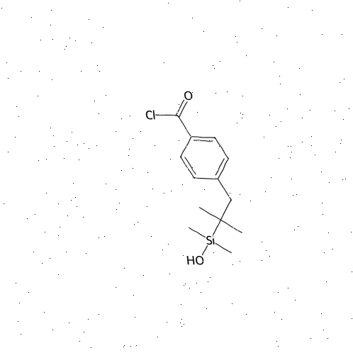 CC(C)(Cc1ccc(C(=O)Cl)cc1)[Si](C)(C)O